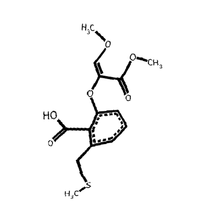 COC=C(Oc1cccc(CSC)c1C(=O)O)C(=O)OC